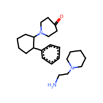 NCCN1CCCCC1.O=C1CCN(C2CCCCC2c2ccccc2)CC1